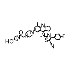 Cc1cc(N2CCN(CC(=O)N3CC(O)C3)CC2)cc2c(N(C)c3nc(-c4ccc(F)cc4)c(C#N)s3)c3c(nc12)CCC3